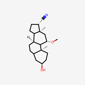 CO[C@H]1C[C@@]2(C)C(CC[C@@H]2C#N)[C@@H]2CCC3C[C@H](O)CC[C@]3(C)C21